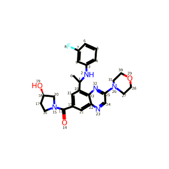 CC(Nc1cccc(F)c1)c1cc(C(=O)N2CC[C@@H](O)C2)cc2ncc(N3CCOCC3)nc12